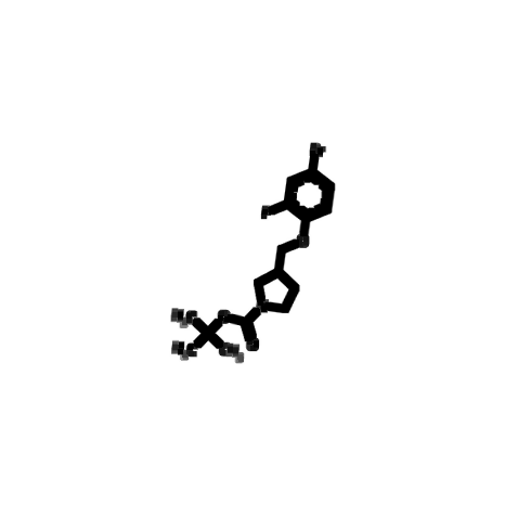 CC(C)(C)OC(=O)N1CCC(COc2ccc(Br)cc2F)C1